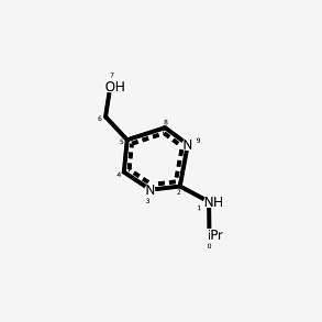 CC(C)Nc1ncc(CO)cn1